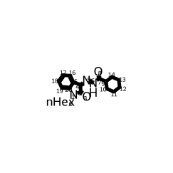 CCCCCCN1C(=O)C(=NNC(=O)C2CCCCC2)c2ccccc21